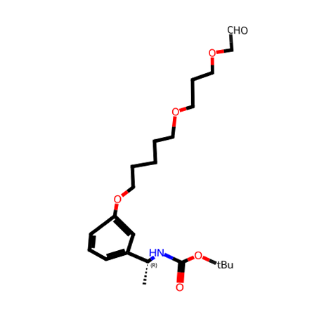 C[C@@H](NC(=O)OC(C)(C)C)c1cccc(OCCCCCOCCCOCC=O)c1